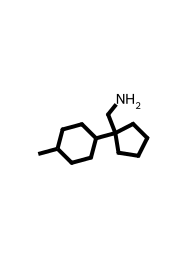 CC1CCC(C2(CN)CCCC2)CC1